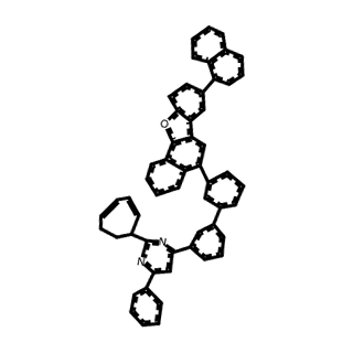 C1=CCCC(c2nc(-c3ccccc3)cc(-c3cccc(-c4cccc(-c5cc6c7cc(-c8cccc9ccccc89)ccc7oc6c6ccccc56)c4)c3)n2)C=C1